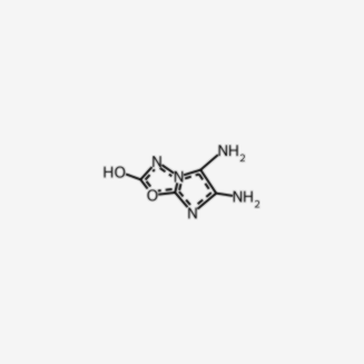 Nc1nc2oc(O)nn2c1N